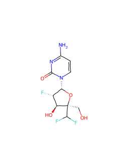 Nc1ccn([C@@H]2O[C@@](CO)(C(F)F)[C@@H](O)[C@@H]2F)c(=O)n1